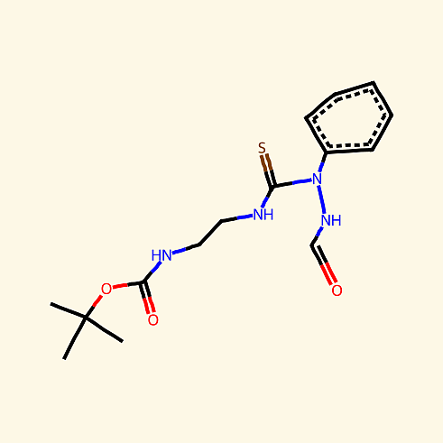 CC(C)(C)OC(=O)NCCNC(=S)N(NC=O)c1ccccc1